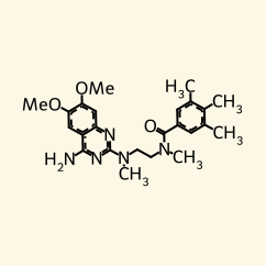 COc1cc2nc(N(C)CCN(C)C(=O)c3cc(C)c(C)c(C)c3)nc(N)c2cc1OC